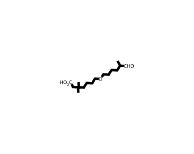 CC(C=O)CCCCOCCCCC(C)(C)CC(=O)O